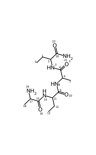 CCC(NC(=O)C(C)NC(=O)C(CC)NC(=O)C(C)N)C(N)=O